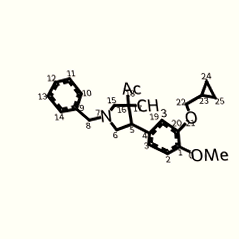 COc1ccc(C2CN(Cc3ccccc3)CC2(C)C(C)=O)cc1OCC1CC1